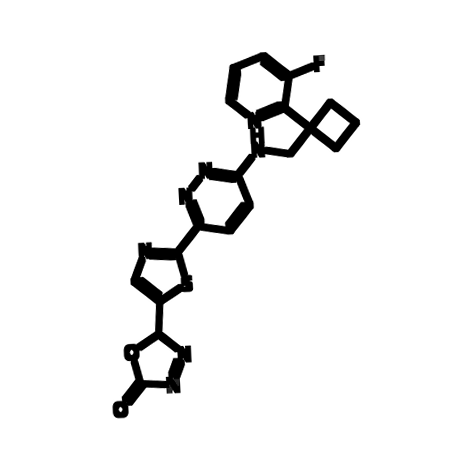 O=C1N=NC(c2cnc(-c3ccc(NCC4(c5ncccc5F)CCC4)nn3)s2)O1